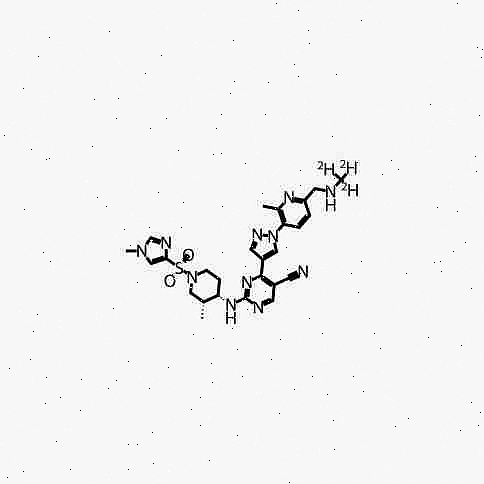 [2H]C([2H])([2H])NCc1ccc(-n2cc(-c3nc(N[C@H]4CCN(S(=O)(=O)c5cn(C)cn5)C[C@H]4C)ncc3C#N)cn2)c(C)n1